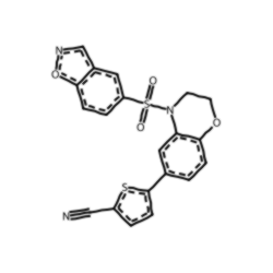 N#Cc1ccc(-c2ccc3c(c2)N(S(=O)(=O)c2ccc4oncc4c2)CCO3)s1